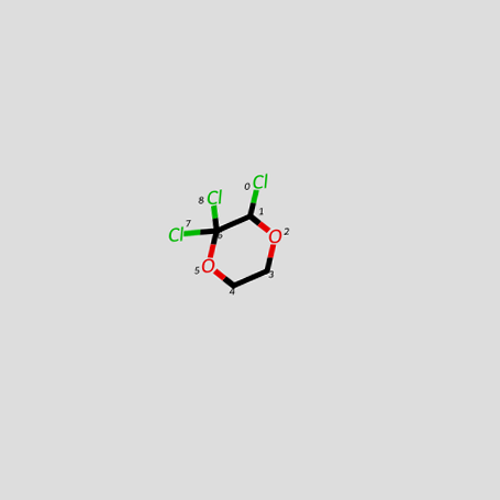 ClC1OCCOC1(Cl)Cl